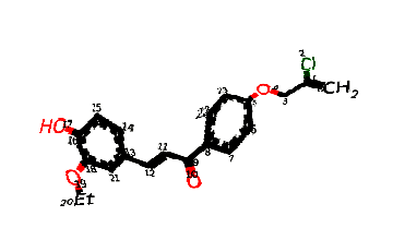 C=C(Cl)COc1ccc(C(=O)/C=C/c2ccc(O)c(OCC)c2)cc1